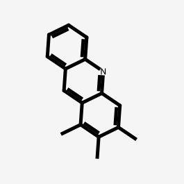 Cc1cc2nc3ccccc3cc2c(C)c1C